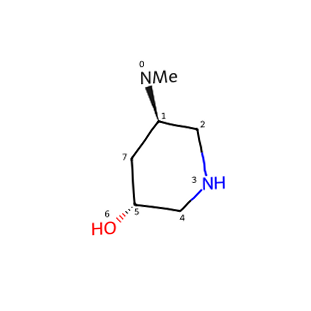 CN[C@H]1CNC[C@H](O)C1